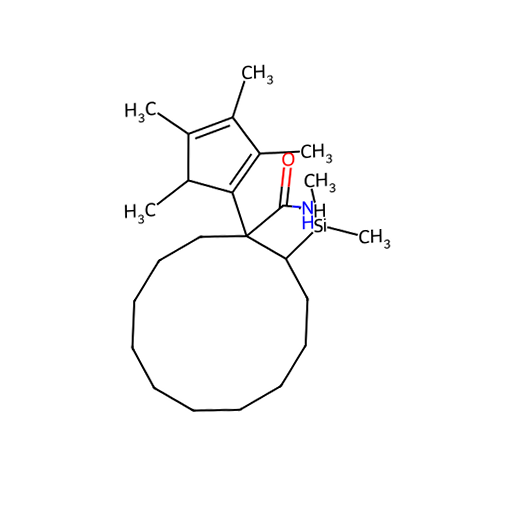 CC1=C(C)C(C)C(C2(C([NH])=O)CCCCCCCCCCC2[SiH](C)C)=C1C